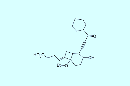 CCOC12CCC(O)C(C#CC(=O)C3CCCCC3)C1CC2=CCCC(=O)O